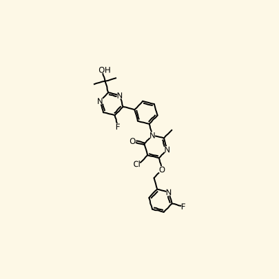 Cc1nc(OCc2cccc(F)n2)c(Cl)c(=O)n1-c1cccc(-c2nc(C(C)(C)O)ncc2F)c1